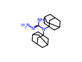 NN=C(N)N(C12CC3CC(CC(C3)C1)C2)C12CC3CC(CC(C3)C1)C2